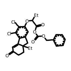 CCC(Oc1cc2c(c(Cl)c1Cl)C1=CC(=O)CCC1(CC)C2)C(=O)OC(=O)OCc1ccccc1